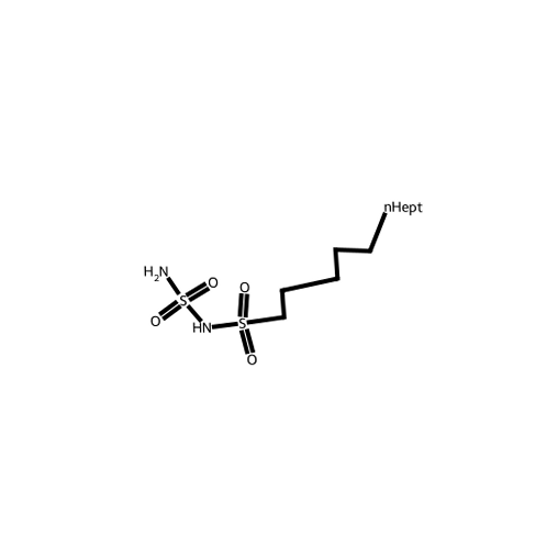 CCCCCCCCCCCCS(=O)(=O)NS(N)(=O)=O